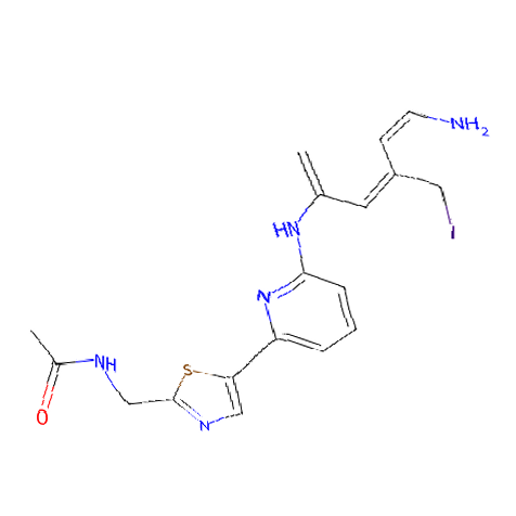 C=C(/C=C(\C=C/N)CI)Nc1cccc(-c2cnc(CNC(C)=O)s2)n1